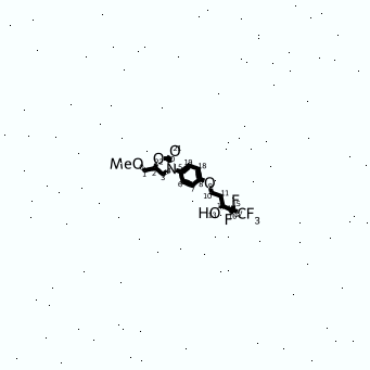 COCC1CN(c2ccc(OCCC(O)C(F)(F)C(F)(F)F)cc2)C(=O)O1